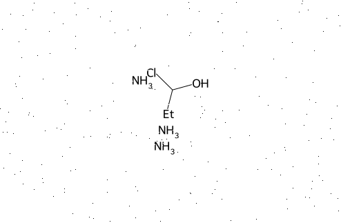 CCC(O)Cl.N.N.N